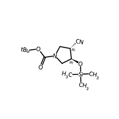 CC(C)(C)OC(=O)N1C[C@H](O[Si](C)(C)C)[C@@H](C#N)C1